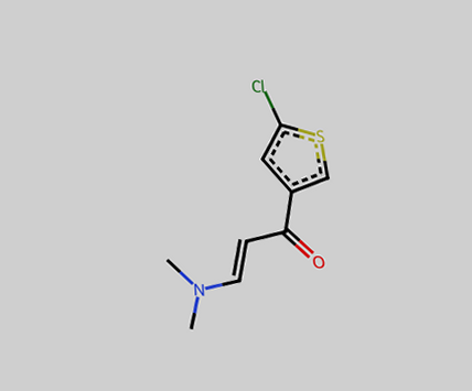 CN(C)C=CC(=O)c1csc(Cl)c1